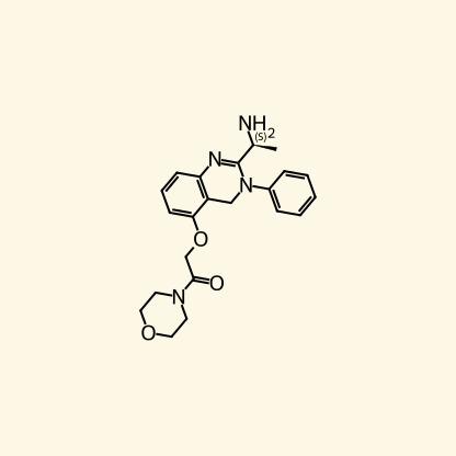 C[C@H](N)C1=Nc2cccc(OCC(=O)N3CCOCC3)c2CN1c1ccccc1